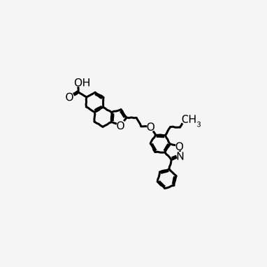 CCCc1c(OCCc2cc3c(o2)CCC2=C3C=CC(C(=O)O)C2)ccc2c(-c3ccccc3)noc12